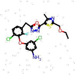 CCOCc1nc(C)c(-c2nnc(Cc3ccc(Cl)c(Oc4cc(N)cc(Cl)c4)c3F)o2)s1